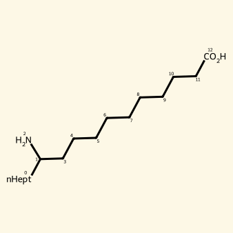 CCCCCCCC(N)CCCCCCCCCC(=O)O